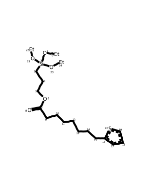 CCO[Si](CCCOC(=O)CCCCCCCc1cccs1)(OCC)OCC